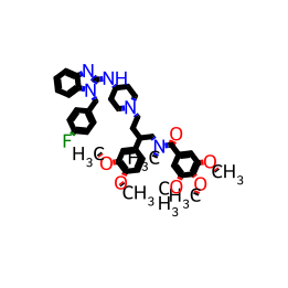 COc1ccc(C(CCN2CCC(Nc3nc4ccccc4n3Cc3ccc(F)cc3)CC2)CN(C)C(=O)c2cc(OC)c(OC)c(OC)c2)cc1OC